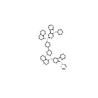 C1=CCC(n2c3ccccc3c3cc(N(c4ccc(-c5ccc(N(c6ccc7c(c6)c6ccccc6n7-c6ccccc6)c6cccc7ccccc67)cc5)cc4)c4cccc5ccccc45)ccc32)C=C1